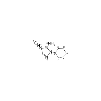 [C-]#[N+]c1cnn(C2CCCCC2)c1N